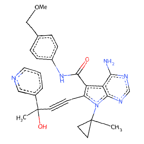 COCc1ccc(NC(=O)c2c(C#CC(C)(O)c3cccnc3)n(C3(C)CC3)c3ncnc(N)c23)cc1